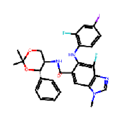 Cn1cnc2c(F)c(Nc3ccc(I)cc3F)c(C(=O)NC3COC(C)(C)O[C@H]3c3ccccc3)cc21